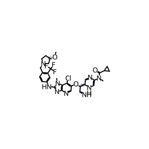 CO[C@H]1CCN(Cc2ccc(Nc3nc4ncc(O/C(C=N)=C5\C=NC(N(C)C(=O)C6CC6)=CN5)c(Cl)c4n3C)cc2C(F)(F)F)C1